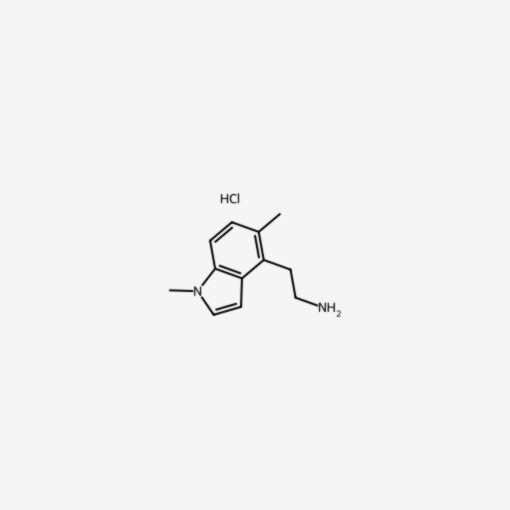 Cc1ccc2c(ccn2C)c1CCN.Cl